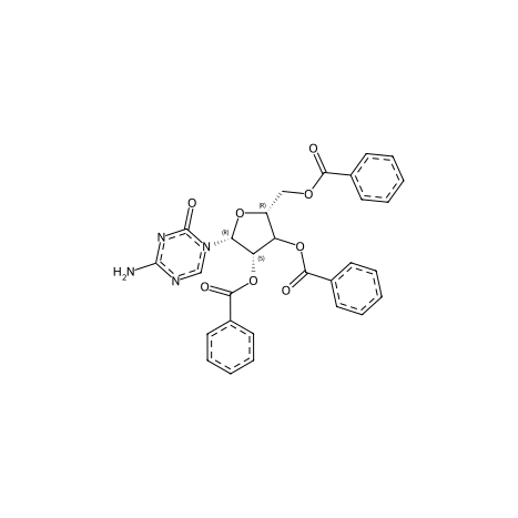 Nc1ncn([C@@H]2O[C@H](COC(=O)c3ccccc3)C(OC(=O)c3ccccc3)[C@@H]2OC(=O)c2ccccc2)c(=O)n1